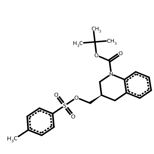 Cc1ccc(S(=O)(=O)OC[C@@H]2Cc3ccccc3N(C(=O)OC(C)(C)C)C2)cc1